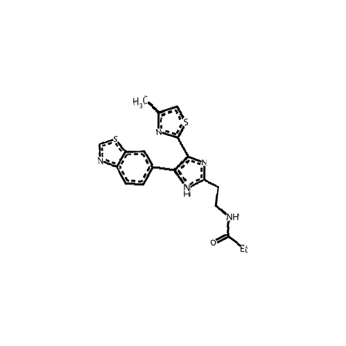 CCC(=O)NCCc1nc(-c2nc(C)cs2)c(-c2ccc3ncsc3c2)[nH]1